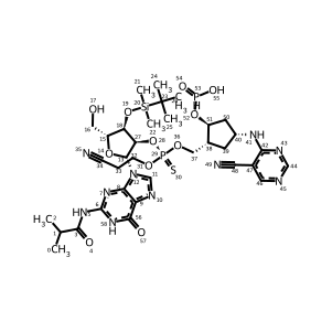 CC(C)C(=O)Nc1nc2c(ncn2[C@@H]2O[C@H](CO)[C@@H](O[Si](C)(C)C(C)(C)C)[C@H]2O[P@](=S)(OCCC#N)OC[C@H]2C[C@@H](Nc3ncncc3C#N)C[C@@H]2O[PH](=O)O)c(=O)[nH]1